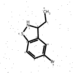 CCC1NSc2ccc(Br)cc21